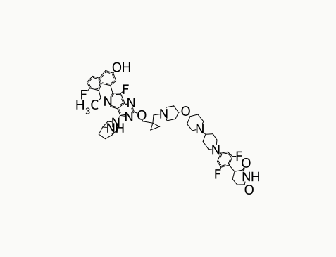 CCc1c(F)ccc2cc(O)cc(-c3ncc4c(N5CC6CCC(C5)N6)nc(OCC5(CN6CCC(OC7CCN(C8CCN(c9cc(F)c(C%10CCC(=O)NC%10=O)c(F)c9)CC8)CC7)CC6)CC5)nc4c3F)c12